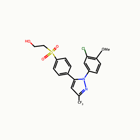 COc1ccc(-n2nc(C(F)(F)F)cc2-c2ccc(S(=O)(=O)CCO)cc2)cc1Cl